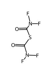 O=C(SC(=O)N(F)F)N(F)F